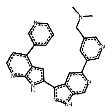 CN(C)Cc1cncc(-c2cc3c(-c4cc5c(-c6cccnc6)ccnc5[nH]4)n[nH]c3cn2)c1